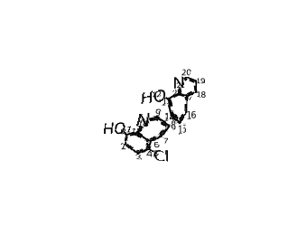 Oc1ccc(Cl)c2cccnc12.Oc1cccc2cccnc12